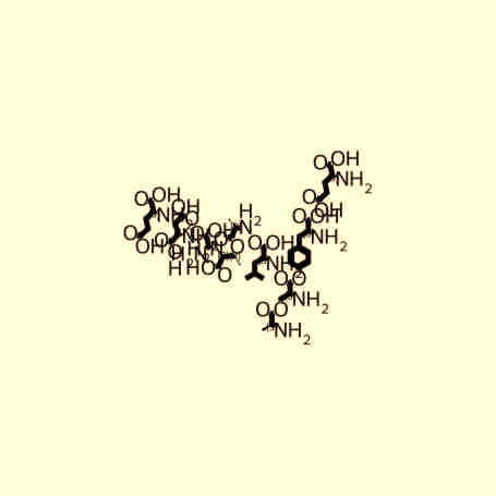 CC(C)C[C@H](N)C(=O)O.C[C@H](N)C(=O)OC[C@H](N)C(=O)Oc1ccc(C[C@H](N)C(=O)O)cc1.C[C@H](N)C(=O)O[C@H](C)[C@H](N)C(=O)O.NCC(=O)O.N[C@@H](CC(=O)O)C(=O)O.N[C@@H](CCC(=O)O)C(=O)O.N[C@@H](CCC(=O)O)C(=O)O